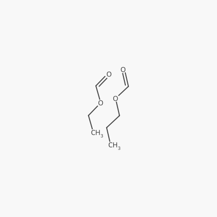 CCCOC=O.CCOC=O